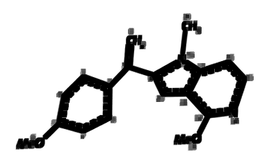 C=C(c1ccc(OC)cc1)c1cc2c(OC)nccc2n1C